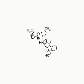 CCn1nccc1C(=O)N[C@H](c1nc2c(F)c(C3CCCCN3C(=O)CO)ccc2[nH]1)[C@H]1CC[C@H](C)CC1